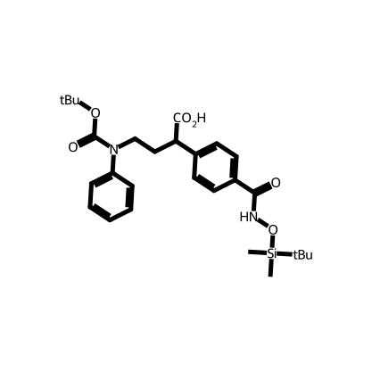 CC(C)(C)OC(=O)N(CCC(C(=O)O)c1ccc(C(=O)NO[Si](C)(C)C(C)(C)C)cc1)c1ccccc1